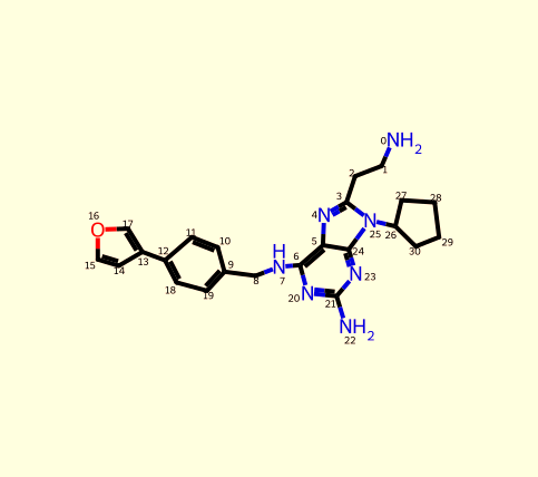 NCCc1nc2c(NCc3ccc(-c4ccoc4)cc3)nc(N)nc2n1C1CCCC1